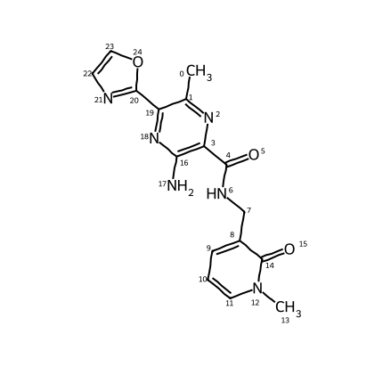 Cc1nc(C(=O)NCc2cccn(C)c2=O)c(N)nc1-c1ncco1